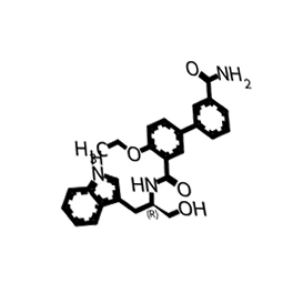 CCOc1ccc(-c2cccc(C(N)=O)c2)cc1C(=O)N[C@@H](CO)Cc1c[nH]c2ccccc12